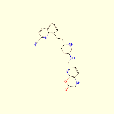 N#Cc1ccc2cccc(CC[C@H]3CC[C@H](NCc4ccc5c(n4)OC(=O)CN5)CN3)c2n1